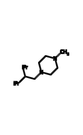 CC(C)C(CN1CCN(C)CC1)C(C)C